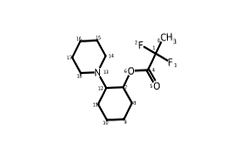 CC(F)(F)C(=O)OC1CCCCC1N1CCCCC1